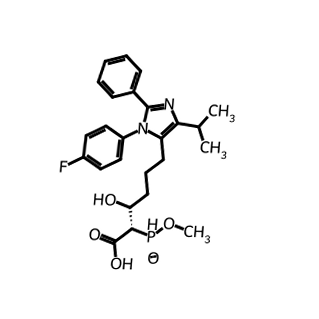 CO[PH](=O)[C@H](C(=O)O)C(O)CCCc1c(C(C)C)nc(-c2ccccc2)n1-c1ccc(F)cc1